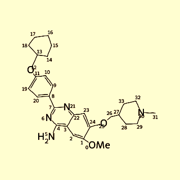 COc1cc2c(N)nc(-c3ccc(OC4CCCCC4)cc3)nc2cc1OCC1CCN(C)CC1